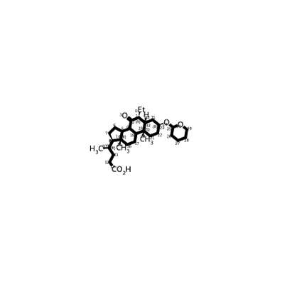 CC[C@H]1C(=O)C2C3CC[C@H]([C@H](C)CCC(=O)O)[C@@]3(C)CCC2[C@@]2(C)CC[C@@H](OC3CCCCO3)C[C@@H]12